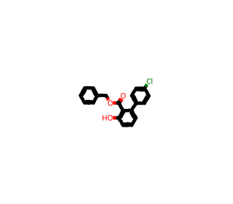 O=C(OCc1ccccc1)c1c(O)cccc1-c1ccc(Cl)cc1